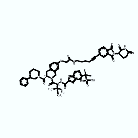 CC(C)(C)[C@H](NC(=O)c1cc2cc(C(F)(F)P(=O)(O)O)ccc2s1)C(=O)N1Cc2cc(OCC(=O)NCCCCC#Cc3ccc4c(c3)C(=O)N(C3CCC(=O)NC3=O)C4=O)ccc2C[C@H]1C(=O)N1CCCC(c2ccccc2)C1